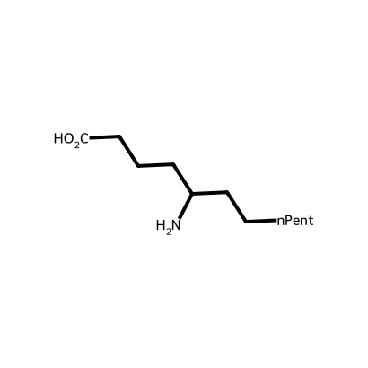 CCCCCCCC(N)CCCC(=O)O